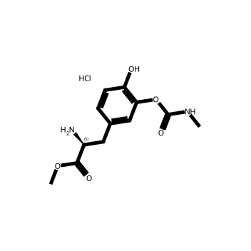 CNC(=O)Oc1cc(C[C@H](N)C(=O)OC)ccc1O.Cl